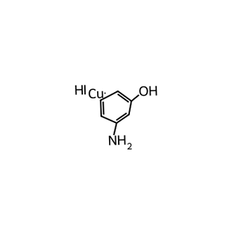 I.Nc1cccc(O)c1.[Cu]